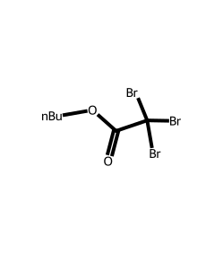 CCCCOC(=O)C(Br)(Br)Br